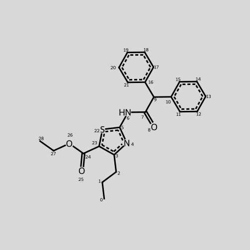 CCCc1nc(NC(=O)C(c2ccccc2)c2ccccc2)sc1C(=O)OCC